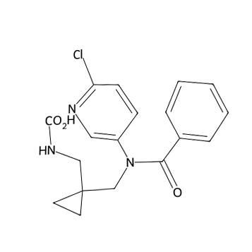 O=C(O)NCC1(CN(C(=O)c2ccccc2)c2ccc(Cl)nc2)CC1